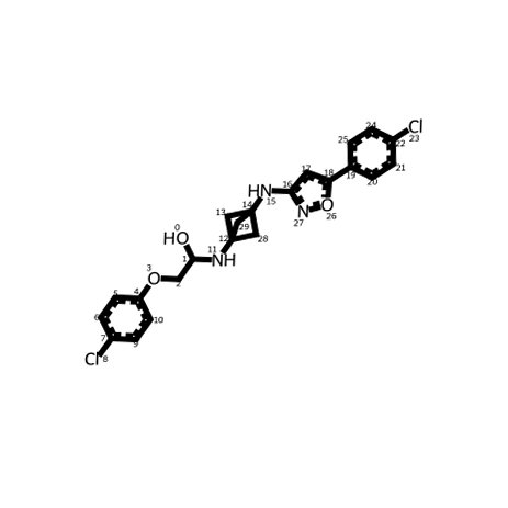 OC(COc1ccc(Cl)cc1)NC12CC(Nc3cc(-c4ccc(Cl)cc4)on3)(C1)C2